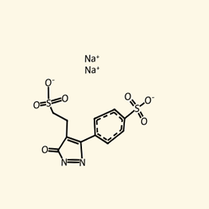 O=C1N=NC(c2ccc(S(=O)(=O)[O-])cc2)=C1CCS(=O)(=O)[O-].[Na+].[Na+]